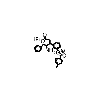 Cc1ccc(S(=O)(=O)Oc2cccc(C(CC(=O)OC(C)C)C(N)Cc3ccccc3)c2)cc1